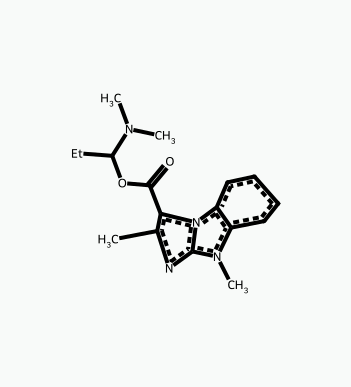 CCC(OC(=O)c1c(C)nc2n(C)c3ccccc3n12)N(C)C